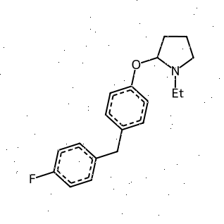 CCN1CCCC1Oc1ccc(Cc2ccc(F)cc2)cc1